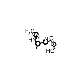 Cc1cc(Nc2nccc(C(F)(F)F)n2)cc(-c2ccc(C(=O)N3CC[C@H](CO)C3)nc2)c1